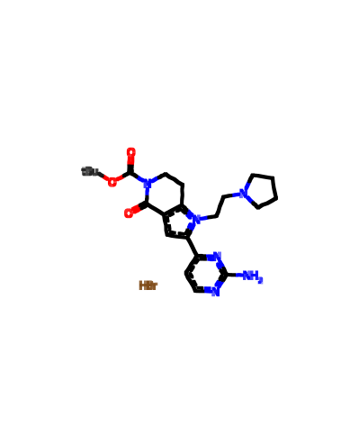 Br.CC(C)(C)OC(=O)N1CCc2c(cc(-c3ccnc(N)n3)n2CCN2CCCC2)C1=O